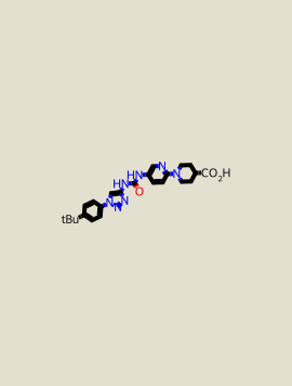 CC(C)(C)c1ccc(-n2cc(NC(=O)Nc3ccc(N4CCC(C(=O)O)CC4)nc3)nn2)cc1